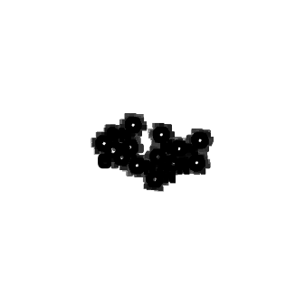 O=C1c2ccccc2C2(c3ccccc31)c1ccccc1N(c1ccccc1)c1ccc(-c3cccc(N(c4ccccc4)c4ccc5c(c4)C4(c6cc(N(c7ccccc7)c7ccccc7)ccc6N5c5ccccc5)c5cccnc5-c5ncccc54)c3)cc12